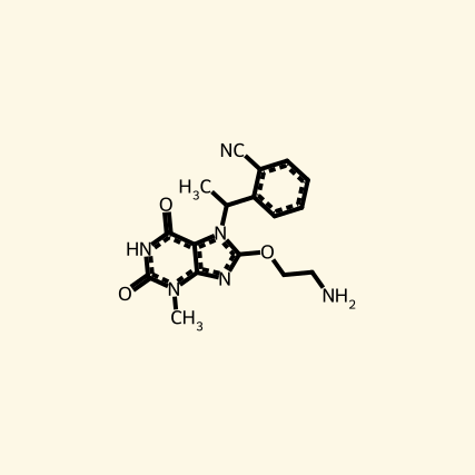 CC(c1ccccc1C#N)n1c(OCCN)nc2c1c(=O)[nH]c(=O)n2C